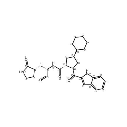 O=C[C@H](C[C@@H]1CCNC1=O)NC(=O)[C@@H]1C[C@@H](C2CCCCC2)CN1C(=O)c1cc2ccccc2[nH]1